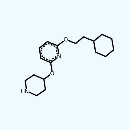 c1cc(OCCC2CCCCC2)nc(OC2CCNCC2)c1